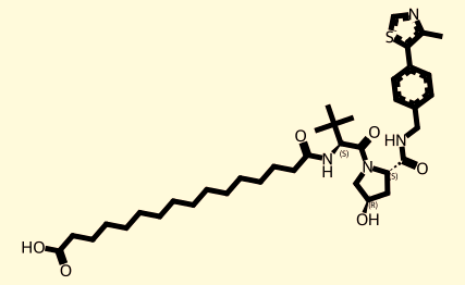 Cc1ncsc1-c1ccc(CNC(=O)[C@@H]2C[C@@H](O)CN2C(=O)[C@@H](NC(=O)CCCCCCCCCCCCCCC(=O)O)C(C)(C)C)cc1